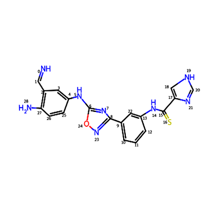 N=Cc1cc(Nc2nc(-c3cccc(NC(=S)c4c[nH]cn4)c3)no2)ccc1N